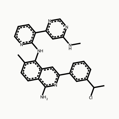 CNc1cc(-c2cccnc2Nc2c(C)ccc3c(N)nc(-c4cccc(C(C)Cl)c4)cc23)ncn1